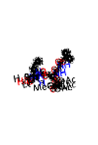 CCOCc1nc2c(NC(=O)OCc3ccc(O[C@@H]4O[C@H](C(=O)OC)[C@@H](OC(C)=O)[C@H](OC(C)=O)[C@H]4OC(C)=O)c(NC(=O)CCNC(=O)OCC4c5ccccc5-c5ccccc54)c3)nc3cc(Cc4ccccc4)ccc3c2n1CC(C)(C)O